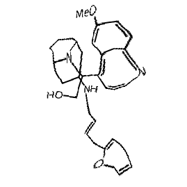 COc1ccc2nccc(C(CO)N3C4CCC3CC(NCC=Cc3ccco3)C4)c2c1